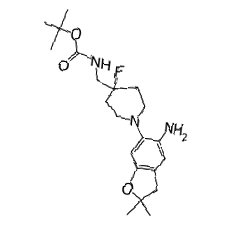 CC(C)(C)OC(=O)NCC1(F)CCN(c2cc3c(cc2N)CC(C)(C)O3)CC1